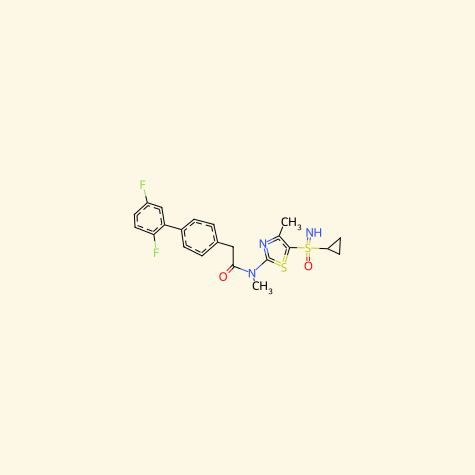 Cc1nc(N(C)C(=O)Cc2ccc(-c3cc(F)ccc3F)cc2)sc1S(=N)(=O)C1CC1